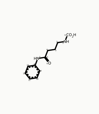 O=C(O)NCCCC(=O)Nc1ccccc1